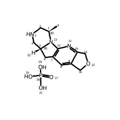 C[C@@H]1CNC[C@H]2Cc3cc4c(nc3N21)COC4.O=P(O)(O)O